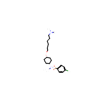 CCN(CC)CCCCCCO[C@H]1CC[C@H](N(C)S(=O)(=O)c2ccc(Br)cc2)CC1